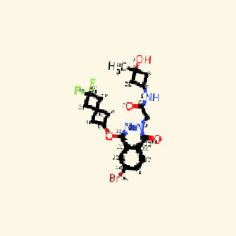 CC1(O)CC(NC(=O)Cn2nc(OC3CC4(C3)CC(F)(F)C4)c3cc(Br)ccc3c2=O)C1